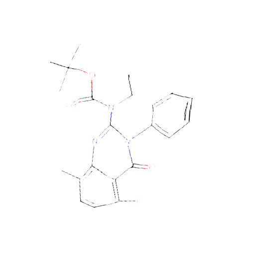 CCN(C(=O)OC(C)(C)C)c1nc2c(C)ccc(F)c2c(=O)n1-c1ccccc1